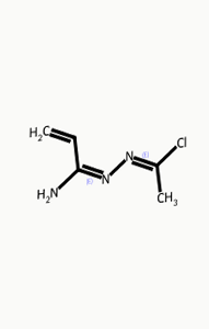 C=C/C(N)=N\N=C(/C)Cl